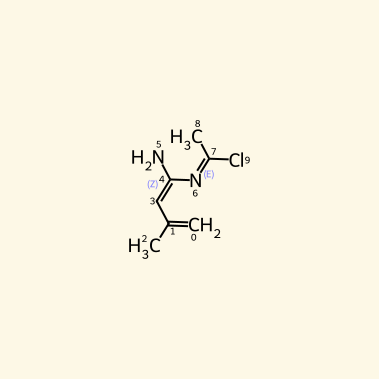 C=C(C)/C=C(N)\N=C(/C)Cl